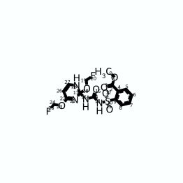 COC(=O)c1ccccc1S(=O)(=O)NC(=O)NC1(OCF)N=C(OCF)C=CN1